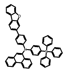 c1ccc([Si](c2ccccc2)(c2ccccc2)c2ccc(N(c3ccc(-c4ccc5c(c4)oc4ccccc45)cc3)c3cc4ccccc4c4ccccc34)cc2)cc1